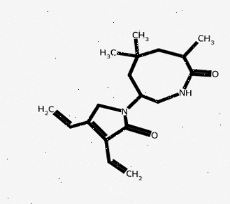 C=CC1=C(C=C)C(=O)N(C2CNC(=O)C(C)CC(C)(C)C2)C1